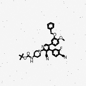 COc1ccc(-c2cnc(N3CCC(NC(=O)OC(C)(C)C)CC3)c(C#N)c2-c2ccc(C#N)c(F)c2)cc1OCc1ccccc1